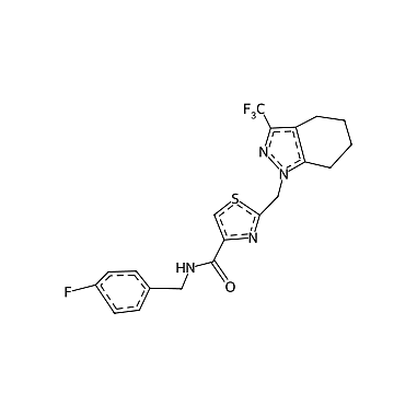 O=C(NCc1ccc(F)cc1)c1csc(Cn2nc(C(F)(F)F)c3c2CCCC3)n1